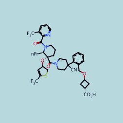 CCC[C@H]1N(C(=O)c2ncccc2C(F)(F)F)CCC[C@@]1(OC1C=C(C(F)(F)F)SC1)C(=O)N1CCC(C#N)(c2ccccc2CO[C@H]2C[C@H](C(=O)O)C2)CC1